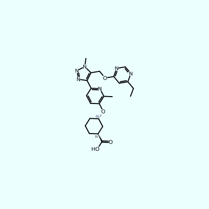 CCc1cc(OCc2c(-c3ccc(O[C@H]4CCC[C@H](C(=O)O)C4)c(C)n3)nnn2C)ncn1